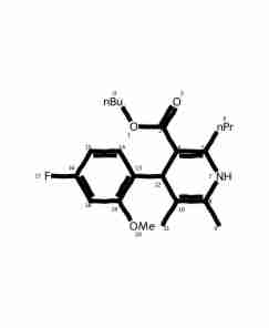 CCCCOC(=O)C1=C(CCC)NC(C)=C(C)C1c1ccc(F)cc1OC